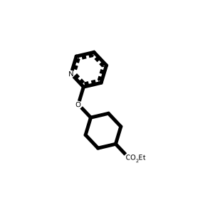 CCOC(=O)C1CCC(Oc2ccccn2)CC1